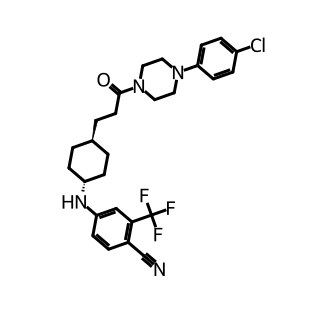 N#Cc1ccc(N[C@H]2CC[C@H](CCC(=O)N3CCN(c4ccc(Cl)cc4)CC3)CC2)cc1C(F)(F)F